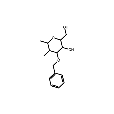 CC1OC(CO)C(O)C(OCc2ccccc2)C1C